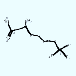 N[C@H](CCCCC(F)(F)F)C(=O)O